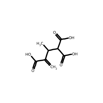 C=C(C(=O)O)C(C)C(C(=O)O)C(=O)O